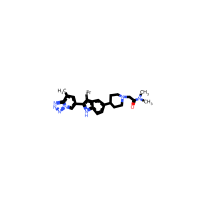 Cc1cc(-c2[nH]c3ccc(C4CCN(CC(=O)N(C)C)CC4)cc3c2C(C)C)cn2nnnc12